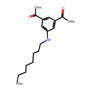 CCCCCCCCCCCCCCCCCNc1cc(C(=O)OC)cc(C(=O)OC)c1